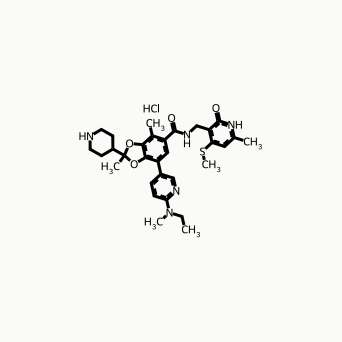 CCN(C)c1ccc(-c2cc(C(=O)NCc3c(SC)cc(C)[nH]c3=O)c(C)c3c2OC(C)(C2CCNCC2)O3)cn1.Cl